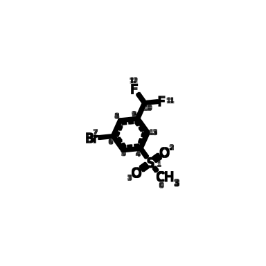 CS(=O)(=O)c1cc(Br)cc(C(F)F)c1